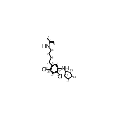 C=C(C)NCCCCc1cc(NC2CCCC2)c(Cl)cc1Cl